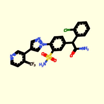 NC(=O)C(c1ccc(-n2cc(-c3cnccc3C(F)(F)F)cn2)c(S(N)(=O)=O)c1)c1ccccc1Cl